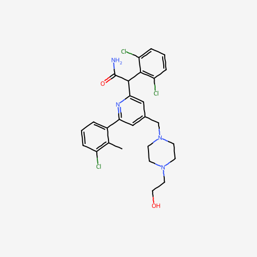 Cc1c(Cl)cccc1-c1cc(CN2CCN(CCO)CC2)cc(C(C(N)=O)c2c(Cl)cccc2Cl)n1